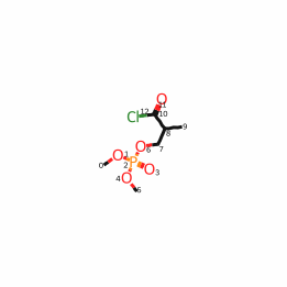 COP(=O)(OC)OCC(C)C(=O)Cl